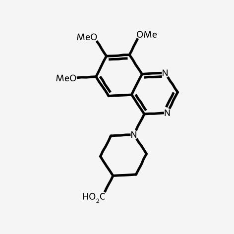 COc1cc2c(N3CCC(C(=O)O)CC3)ncnc2c(OC)c1OC